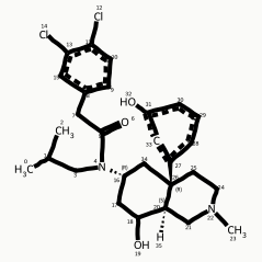 CC(C)CN(C(=O)Cc1ccc(Cl)c(Cl)c1)[C@H]1CC(O)[C@@H]2CN(C)CC[C@@]2(c2cccc(O)c2)C1